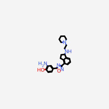 Nc1cc(-c2nc(-c3cccc4c3CCC4NCCN3CCCCC3)no2)ccc1O